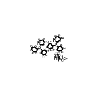 [Cl-].[Cl-].[Cl][Ni].[Pd+2].c1ccc(P(c2ccccc2)c2ccccn2)cc1.c1ccc(P(c2ccccc2)c2ccccn2)cc1